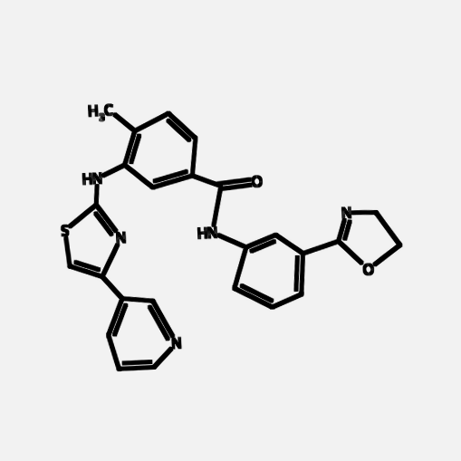 Cc1ccc(C(=O)Nc2cccc(C3=NCCO3)c2)cc1Nc1nc(-c2cccnc2)cs1